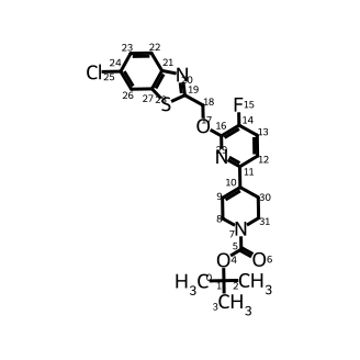 CC(C)(C)OC(=O)N1CC=C(c2ccc(F)c(OCc3nc4ccc(Cl)cc4s3)n2)CC1